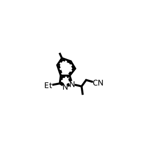 CCc1nn(C(C)CC#N)c2ccc(C)cc12